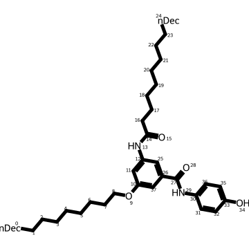 CCCCCCCCCCCCCCCCCCOc1cc(NC(=O)CCCCCCCCCCCCCCCCCC)cc(C(=O)Nc2ccc(O)cc2)c1